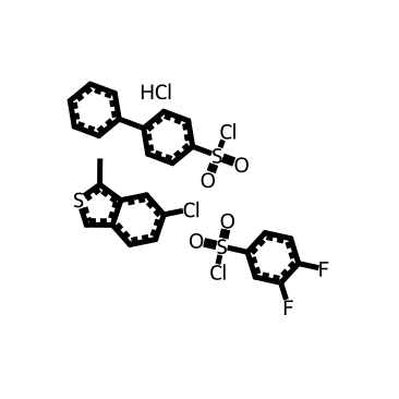 Cc1scc2ccc(Cl)cc12.Cl.O=S(=O)(Cl)c1ccc(-c2ccccc2)cc1.O=S(=O)(Cl)c1ccc(F)c(F)c1